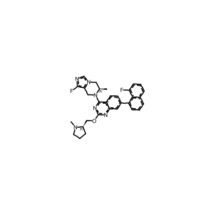 C[C@@H]1Cn2cnc(F)c2CN1c1nc(OC[C@H]2CCCN2C)nc2cc(-c3cccc4cccc(F)c34)ccc12